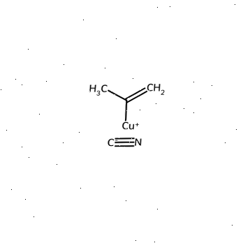 C=[C](C)[Cu+].[C-]#N